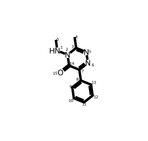 CNn1c(C)nnc(-c2ccccc2)c1=O